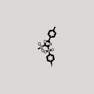 Cc1ccc(-c2nc(S(=O)(=O)c3ccc(F)cc3)c(S(C)(=O)=O)o2)cc1